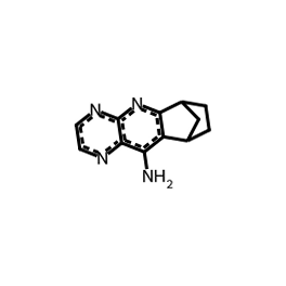 Nc1c2c(nc3nccnc13)C1CCC2C1